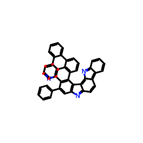 c1ccc(-c2cc3c(c(-c4cccc5c6ccccc6c6ccccc6c45)c2-c2ccccn2)-c2c4c(ccc2=N3)=c2ccccc2=N4)cc1